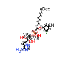 CCCCCCCCCCCCCCCCCC[C@H](COP(=O)(O)OC[C@@](C#N)(OC)[C@@H](O)[C@@H](O)c1ccc2c(N)ncnn12)OCc1cc(Cl)cc(C#N)c1